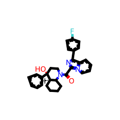 O=C(c1nc(-c2ccc(F)cc2)c2ccccn12)N1CC[C@@](O)(c2ccccc2)[C@@H]2CCCCC21